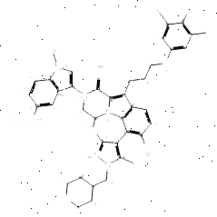 Cc1cc(OCCCc2c3n(c4c(-c5c(C)nn(CC6CCOCC6)c5C)c(Cl)ccc24)C(C)CN(c2cn(C)c4ccc(C(=O)O)cc24)C3=O)cc(C)c1Cl